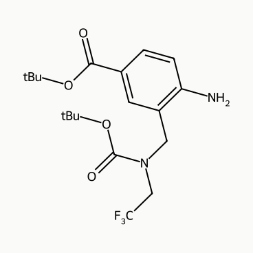 CC(C)(C)OC(=O)c1ccc(N)c(CN(CC(F)(F)F)C(=O)OC(C)(C)C)c1